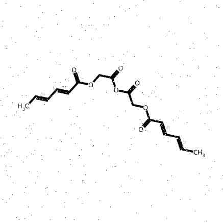 C/C=C/C=C/C(=O)OCC(=O)OC(=O)COC(=O)/C=C/C=C/C